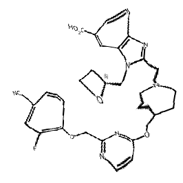 N#Cc1ccc(OCc2nccc(OC3CCN(Cc4nc5ncc(C(=O)O)cc5n4C[C@@H]4CCO4)CC3)n2)c(F)c1